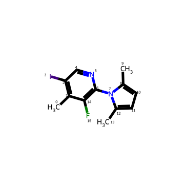 Cc1c(I)cnc(-n2c(C)ccc2C)c1F